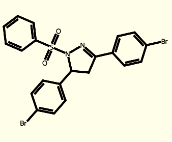 O=S(=O)(c1ccccc1)N1N=C(c2ccc(Br)cc2)CC1c1ccc(Br)cc1